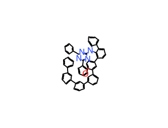 c1ccc(-c2cccc(-c3cccc(-c4cccc5c4oc4ccc(-c6cccc7c8ccccc8n(-c8nc(-c9ccccc9)nc(-c9ccccc9)n8)c67)cc45)c3)c2)cc1